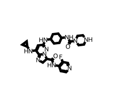 O=C(Nc1ccncc1F)C1CN=C2C(NC3CC3)=CC(NC3CCC(NC(=O)N4CCNCC4)CC3)=NN21